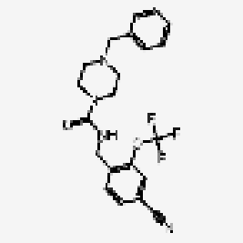 N#Cc1ccc(CNC(=O)N2CCN(Cc3ccccc3)CC2)c(OC(F)(F)F)c1